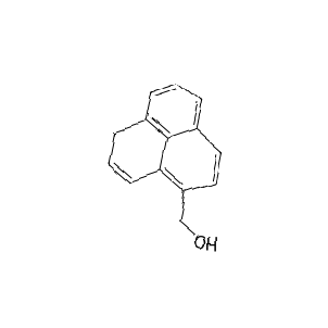 OCc1ccc2cccc3c2c1C=CC3